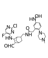 CN1CCN(c2ccc(NO)cc2CC(=O)NCC2CC3CC2C(Nc2nc(Cl)ncc2F)C3C=O)CC1